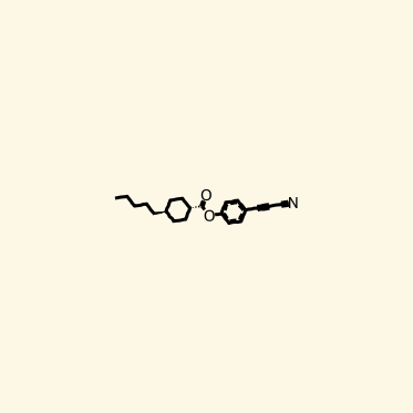 CCCCC[C@H]1CC[C@H](C(=O)Oc2ccc(C#CC#N)cc2)CC1